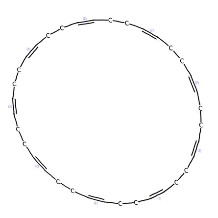 C1=C\CC/C=C\CC/C=C\CC/C=C\CC/C=C\CC/C=C\CC/C=C\CC/C=C\CC/C=C\CC/1